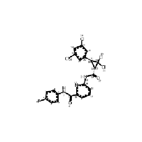 O=C(Nc1ccc(F)cc1)c1cccc(NC(=O)[C@@H]2[C@@H](c3cc(Cl)cc(Cl)c3)C2(Cl)Cl)n1